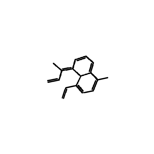 C=CC1=CC=C(C)C2=CC=C/C(=C(\C)C=C)C12